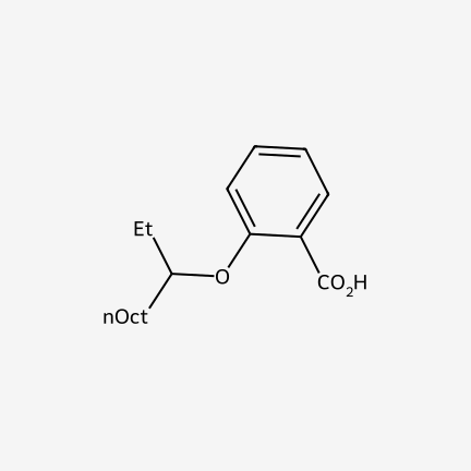 CCCCCCCCC(CC)Oc1ccccc1C(=O)O